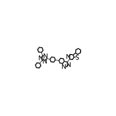 c1ccc(-c2nc(-c3ccccc3)nc(-c3ccc(-c4ccc5c(-c6cc7sc8ccccc8c7cn6)ncnc5c4)cc3)n2)cc1